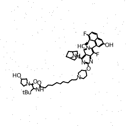 C#Cc1c(F)ccc2cc(O)cc(-c3ncc4c(N5CC6CCC(C5)N6)nc(OC5CCN(CCCCCCCCCC(=O)NC(C(=O)N6CC[C@@H](O)C6)C(C)(C)C)CC5)nc4c3F)c12